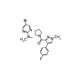 CN(C[C@@H]1CCCN1C(=O)c1nn(C)cc1-c1ccc(F)cc1)c1ncc(Br)cn1